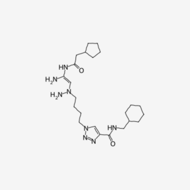 N/C(=C\N(N)CCCCn1cc(C(=O)NCC2CCCCC2)nn1)NC(=O)CC1CCCC1